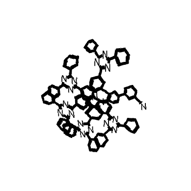 N#Cc1cccc(-c2ccc(-n3c4ccc(-c5nc(-c6ccccc6)nc(-c6ccccc6)n5)cc4c4cc(-c5nc(-c6ccccc6)nc(-c6ccccc6)n5)ccc43)c(-c3cc(-c4nc(-c5ccccc5)nc(-c5ccccc5)n4)ccc3-n3c4ccc(-c5nc(-c6ccccc6)nc(-c6ccccc6)n5)cc4c4cc(-c5nc(-c6ccccc6)nc(-c6ccccc6)n5)ccc43)c2)c1